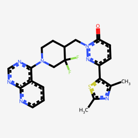 Cc1nc(C)c(-c2ccc(=O)n(CC3CCN(c4ncnc5ncccc45)CC3(F)F)n2)s1